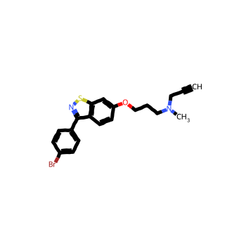 C#CCN(C)CCCOc1ccc2c(-c3ccc(Br)cc3)nsc2c1